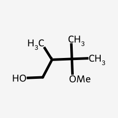 COC(C)(C)[C](C)CO